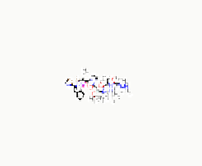 CNC(C)(C)C(=O)N[C@H](C(=O)N(C)[C@@H](C(C)C)[C@@H](CC(=O)N1CCC[C@H]1[C@H](OC)[C@@H](C)C(=S)N[C@@H](Cc1ccccc1)c1nccs1)OC)C(C)C